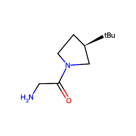 CC(C)(C)[C@@H]1CCN(C(=O)CN)C1